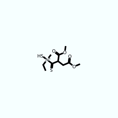 CC[N+](C)(S)C(=S)C(CC(=O)OC)C(=O)OC